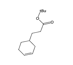 CC(C)(C)OC(=O)CCC1CC=CCC1